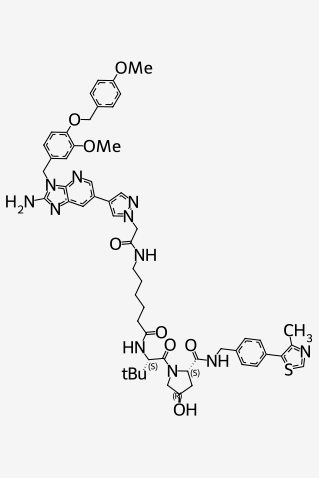 COc1ccc(COc2ccc(Cn3c(N)nc4cc(-c5cnn(CC(=O)NCCCCCC(=O)N[C@H](C(=O)N6C[C@H](O)C[C@H]6C(=O)NCc6ccc(-c7scnc7C)cc6)C(C)(C)C)c5)cnc43)cc2OC)cc1